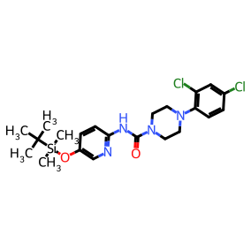 CC(C)(C)[Si](C)(C)Oc1ccc(NC(=O)N2CCN(c3ccc(Cl)cc3Cl)CC2)nc1